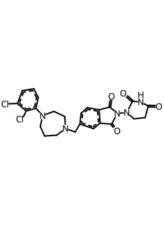 O=C1CCN(N2C(=O)c3ccc(CN4CCCN(c5cccc(Cl)c5Cl)CC4)cc3C2=O)C(=O)N1